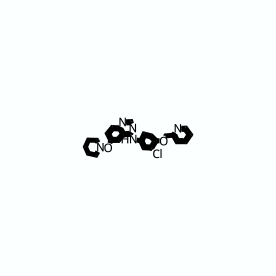 Clc1cc(Nc2ncnc3ccc(ON4CCCCC4)cc23)ccc1OCc1ccccn1